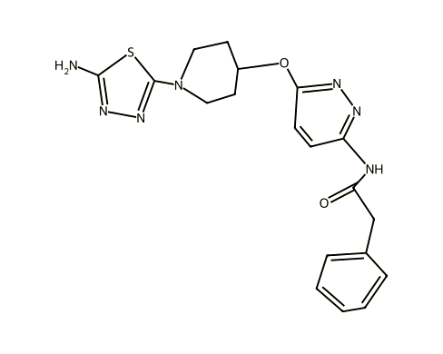 Nc1nnc(N2CCC(Oc3ccc(NC(=O)Cc4ccccc4)nn3)CC2)s1